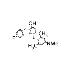 [CH2]Nc1cc(C)c(Cc2ccc(O)c(Cc3ccc(F)cc3)c2)c(C)c1